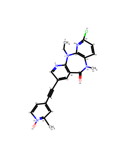 CCN1c2ncc(C#Cc3cc[n+]([O-])c(C)c3)cc2C(=O)N(C)c2ccc(Cl)nc21